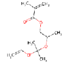 C=COC(C)(C)OC(C)COC(=O)C(=C)C